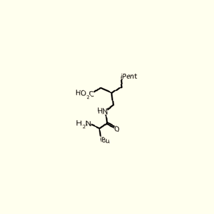 CCCC(C)CC(CNC(=O)C(N)C(C)CC)CC(=O)O